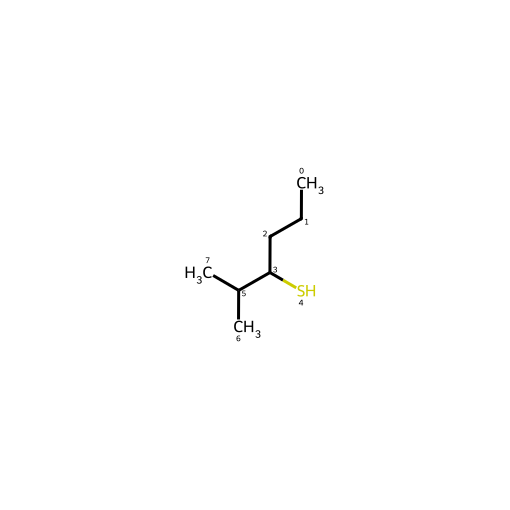 CCCC(S)C(C)C